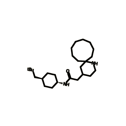 CC(C)(C)C[C@H]1CC[C@H](NC(=O)CC2CCNC3(CCCCCCCC3)C2)CC1